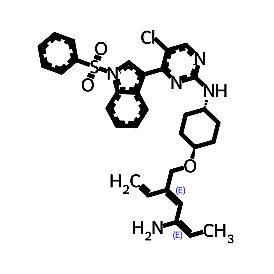 C=C/C(=C\C(N)=C/C)CO[C@H]1CC[C@H](Nc2ncc(Cl)c(-c3cn(S(=O)(=O)c4ccccc4)c4ccccc34)n2)CC1